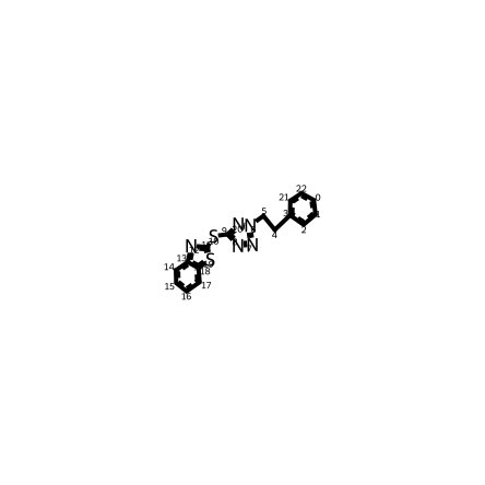 c1ccc(CCn2nnc(Sc3nc4ccccc4s3)n2)cc1